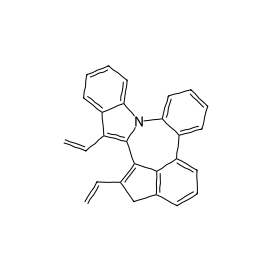 C=CC1=C2c3c(cccc3-c3ccccc3-n3c2c(C=C)c2ccccc23)C1